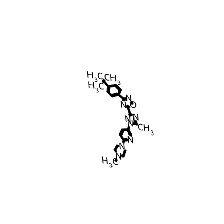 Cc1nc(-c2nc(-c3ccc(C(C)(C)C)cc3)no2)nn1-c1ccc(N2CCN(C)CC2)nc1